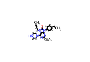 C=Cc1ccc(-n2c(=O)n(CC#CC)c3c(N4CCNCC4)nc(OC)nc32)cc1